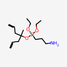 C=CCC(C)(CC=C)O[Si](CCCN)(OCC)OCC